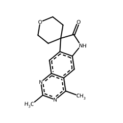 Cc1nc(C)c2cc3c(cc2n1)C1(CCOCC1)C(=O)N3